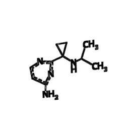 CC(C)NC1(c2nccc(N)n2)CC1